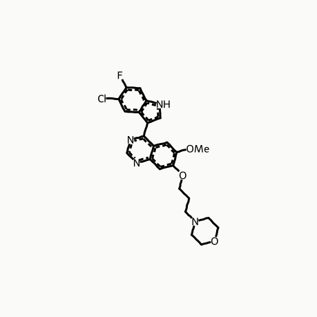 COc1cc2c(-c3c[nH]c4cc(F)c(Cl)cc34)ncnc2cc1OCCCN1CCOCC1